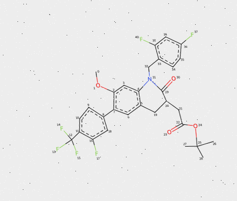 COc1cc2c(cc1-c1ccc(C(F)(F)F)c(F)c1)CC(CC(=O)OC(C)(C)C)C(=O)N2Cc1ccc(F)cc1F